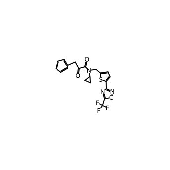 O=C(Cc1ccccc1)C(=O)N(Cc1ccc(-c2noc(C(F)(F)F)n2)s1)C1CC1